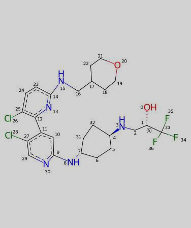 O[C@@H](CN[C@H]1CC[C@H](Nc2cc(-c3nc(NCC4CCOCC4)ccc3Cl)c(Cl)cn2)CC1)C(F)(F)F